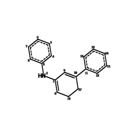 C1=C(Nc2ccccc2)C=C(c2ccccc2)CC1